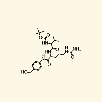 CC(C)C(NC(=O)OC(C)(C)C)C(=O)N[C@@H](CCCNC(N)=O)C(=O)Nc1ccc(CO)cc1